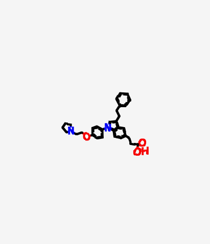 O=C(O)CCc1ccc2c(c1)c(CCc1ccccc1)cn2-c1ccc(OCCN2CCCC2)cc1